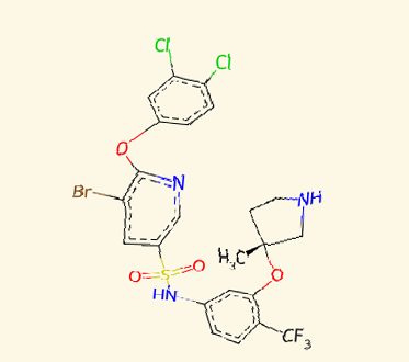 C[C@@]1(Oc2cc(NS(=O)(=O)c3cnc(Oc4ccc(Cl)c(Cl)c4)c(Br)c3)ccc2C(F)(F)F)CCNC1